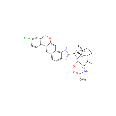 COC(=O)N[C@@H]1C(=O)N2C(c3nc4ccc5cc6c(cc5c4[nH]3)OCc3cc(Cl)ccc3-6)C[C@@H]3CCC(C1C)[C@@H]32